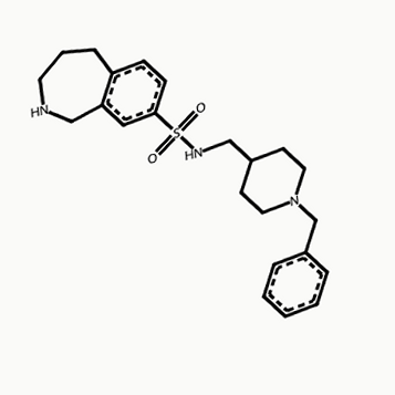 O=S(=O)(NCC1CCN(Cc2ccccc2)CC1)c1ccc2c(c1)CNCCC2